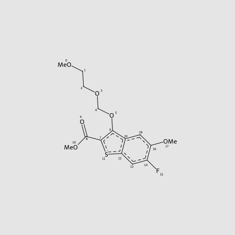 COCCOCOc1c(C(=O)OC)sc2cc(F)c(OC)cc12